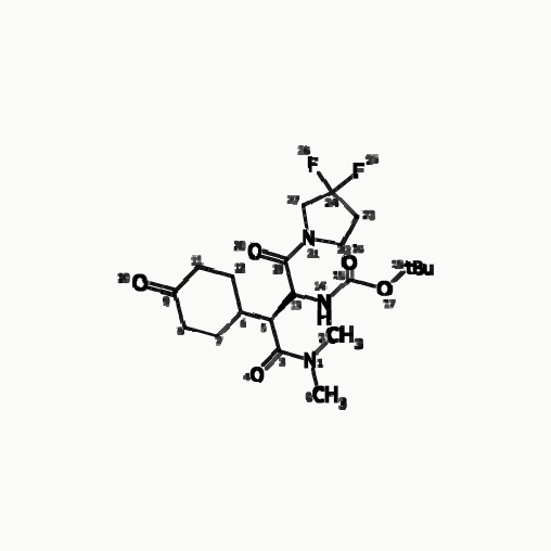 CN(C)C(=O)[C@@H](C1CCC(=O)CC1)C(NC(=O)OC(C)(C)C)C(=O)N1CCC(F)(F)C1